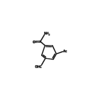 CC(=O)c1cc(C=O)cc(C(N)=O)c1